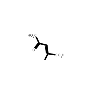 C/C(=C\C(=O)C(=O)O)C(=O)O